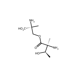 C[C@@H](O)[C@](C)(N)C(=O)OC[C@](C)(N)C(=O)O